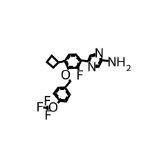 Nc1cnc(-c2ccc(C3CCC3)c(OCc3ccc(OC(F)(F)F)cc3)c2F)cn1